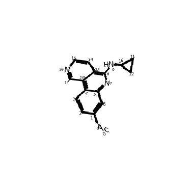 CC(=O)c1ccc2c(c1)nc(NC1CC1)c1ccncc12